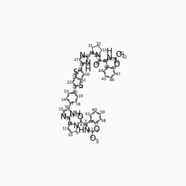 COC(=O)N[C@@H](C(=O)N1CC=C[C@H]1c1ncc(-c2ccc(-c3cc4sc(-c5cnc([C@@H]6CCCN6C(=O)[C@H](NC(=O)OC)c6ccccc6)[nH]5)cc4s3)cc2)[nH]1)c1ccccc1